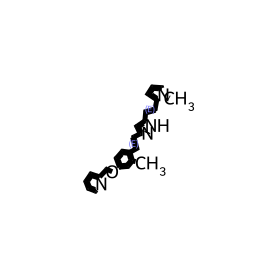 Cc1cc(OCc2ccccn2)ccc1/C=C/c1cc(/C=C/c2cccn2C)[nH]n1